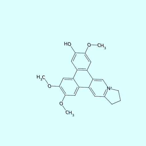 COc1cc2c(cc1O)c1cc(OC)c(OC)cc1c1cc3[n+](cc21)CCC3